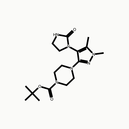 Cc1c(N2CCNC2=O)c(N2CCN(C(=O)OC(C)(C)C)CC2)nn1C